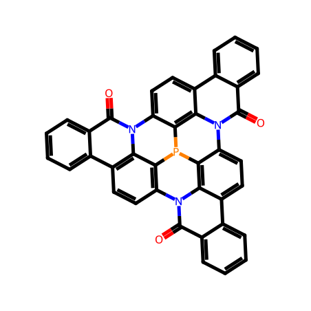 O=c1c2ccccc2c2ccc3c4c2n1c1ccc2c5ccccc5c(=O)n5c6ccc7c8ccccc8c(=O)n3c7c6p4c1c25